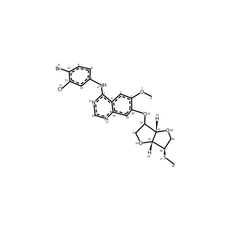 COc1cc2c(Nc3ccc(Br)c(Cl)c3)ncnc2cc1OC1CO[C@H]2[C@H](SC)CO[C@@H]12